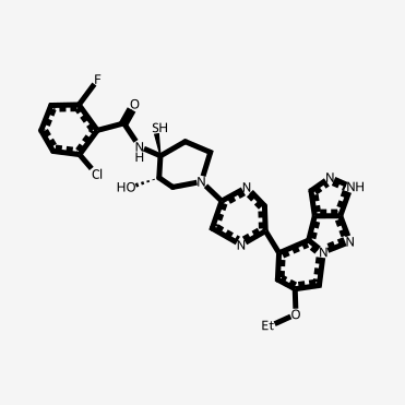 CCOc1cc(-c2cnc(N3CC[C@@](S)(NC(=O)c4c(F)cccc4Cl)[C@@H](O)C3)cn2)c2c3cn[nH]c3nn2c1